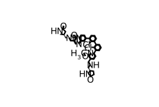 COc1nc(-c2cccc(-c3cccc(-c4ccn5c(=O)c(CNC[C@H]6CNC(=O)C6)cnc5c4)c3Cl)c2Cl)ccc1CNC[C@H]1CCC(=O)N1